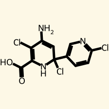 NC1=CC(Cl)(c2ccc(Cl)nc2)NC(C(=O)O)=C1Cl